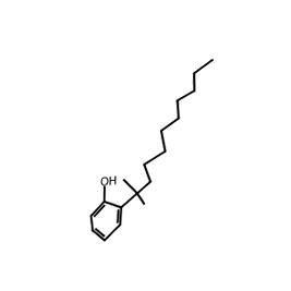 CCCCCCCCCC(C)(C)c1ccccc1O